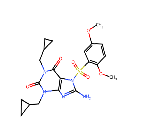 COc1ccc(OC)c(S(=O)(=O)n2c(N)nc3c2c(=O)n(CC2CC2)c(=O)n3CC2CC2)c1